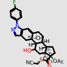 CC(=O)O[C@]1(C(=O)SCC#N)CC[C@H]2[C@@H]3CCC4=Cc5c(cnn5-c5ccc(F)cc5)C[C@]4(C)[C@H]3C(O)C[C@@]21C